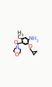 Cc1cc(N)c(OCC2CC2)cc1C(=O)N1CCOCC1